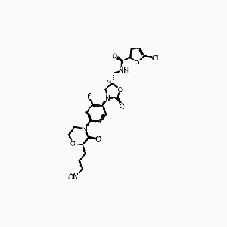 O=NCCCC1OCCN(c2ccc(N3C[C@H](CNC(=O)c4ccc(Cl)s4)OC3=O)c(F)c2)C1=O